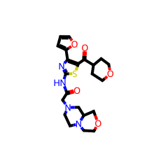 O=C(CN1CCN2CCOCC2C1)Nc1nc(-c2ccco2)c(C(=O)C2CCOCC2)s1